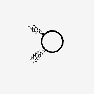 O.O.O.O.O.O.O.O.O=C1CCCCCCCCCCCCCCC1